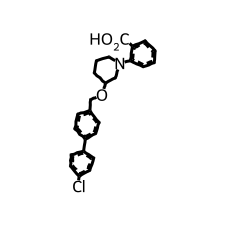 O=C(O)c1ccccc1N1CCCC(OCc2ccc(-c3ccc(Cl)cc3)cc2)C1